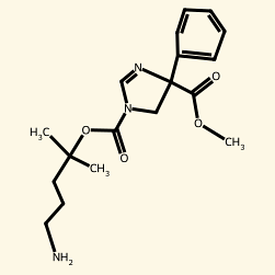 COC(=O)C1(c2ccccc2)CN(C(=O)OC(C)(C)CCCN)C=N1